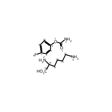 NC(=O)Oc1ccc(F)cc1.NCCCCC(N)C(=O)O